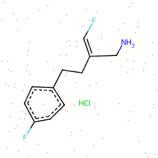 Cl.NCC(=CF)CCc1ccc(F)cc1